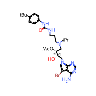 CO[C@H](CN(CCCNC(=O)Nc1ccc(C(C)(C)C)cc1)C(C)C)[C@@H](O)Cn1cc(Br)c2c(N)ncnc21